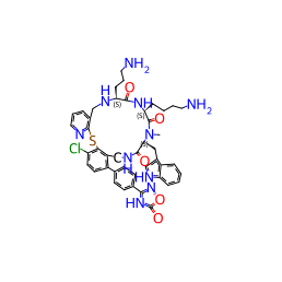 CN1C(=O)[C@H](CCCCN)NC(=O)[C@H](CCCN)NCc2cccnc2Sc2c(Cl)ccc(-c3ccc(-c4noc(=O)[nH]4)cc3)c2CNC(=O)[C@@H]1Cc1c[nH]c2ccccc12